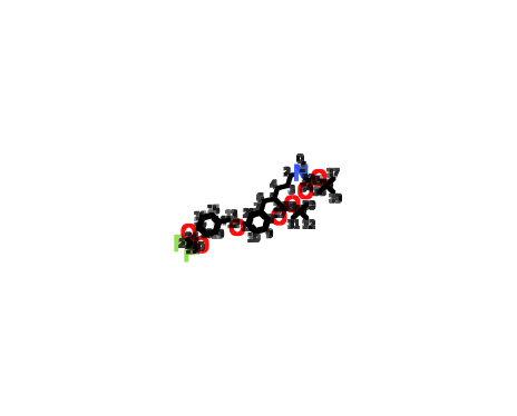 CN(CCCC(Cc1cccc(OCc2ccc3c(c2)OC(F)(F)O3)c1)C(=O)OC(C)(C)C)C(=O)OC(C)(C)C